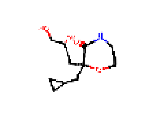 O=C1NCCOC1(CC1CC1)C[C@@H](O)CO